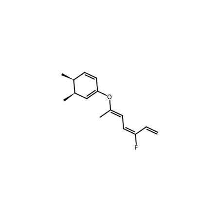 C=C/C(F)=C\C=C(/C)OC1=C[C@@H](C)[C@@H](C)C=C1